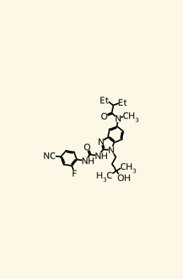 CCC(CC)C(=O)N(C)c1ccc2c(c1)nc(NC(=O)Nc1ccc(C#N)cc1F)n2CCC(C)(C)O